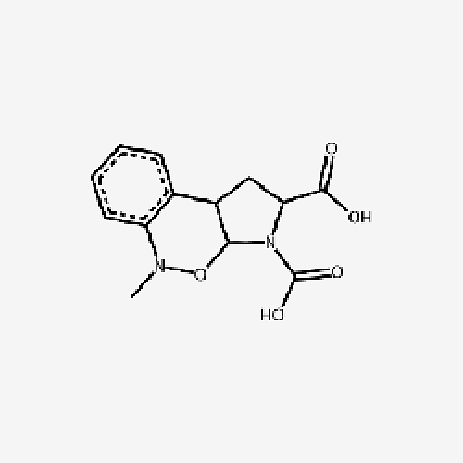 CN1OC2C(CC(C(=O)O)N2C(=O)O)c2ccccc21